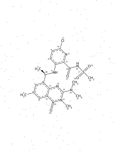 Cc1cc([C@@H](C)Nc2ccc(Cl)nc2C(=O)NS(C)(=O)=O)c2nc(N(C)C)n(C)c(=O)c2c1